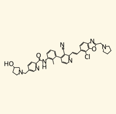 Cc1c(NC(=O)c2ccc(CN3CC[C@@H](O)C3)cn2)cccc1-c1ccnc(/C=C/c2ccc3nc(CN4CCCC4)oc3c2Cl)c1C#N